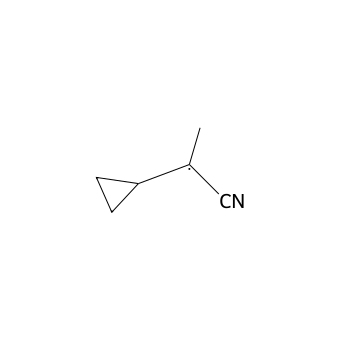 C[C](C#N)C1CC1